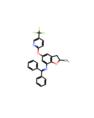 CC1Cc2cc(Oc3ccc(C(F)(F)F)cn3)cc(N=C(c3ccccc3)c3ccccc3)c2O1